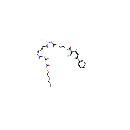 C=C(/C=C\C=C\C(=O)N(C)CC(=O)NCCNC(=O)C(=C\Cl)/C(Cl)=C\C(=C)c1ccccc1)N/C(N)=N/C(=O)OCCCCCC